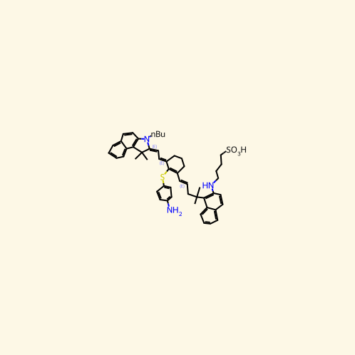 CCCCN1/C(=C/C=C2\CCCC(/C=C/CC(C)(C)c3c(NCCCCS(=O)(=O)O)ccc4ccccc34)=C2Sc2ccc(N)cc2)C(C)(C)c2c1ccc1ccccc21